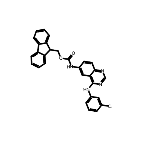 O=C(Nc1ccc2ncnc(Nc3cccc(Cl)c3)c2c1)OCC1c2ccccc2-c2ccccc21